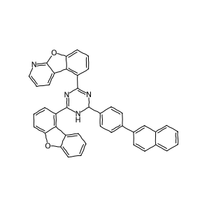 c1ccc2cc(-c3ccc(C4N=C(c5cccc6oc7ncccc7c56)N=C(c5cccc6oc7ccccc7c56)N4)cc3)ccc2c1